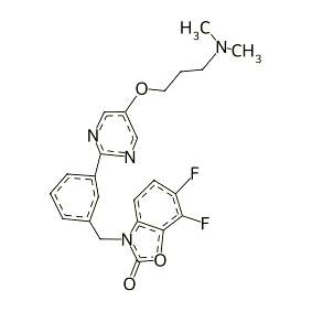 CN(C)CCCOc1cnc(-c2cccc(Cn3c(=O)oc4c(F)c(F)ccc43)c2)nc1